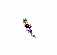 COC[C@H]1CN(c2coc3cc(OS(=O)(=O)C(F)(F)F)ccc23)C(=O)O1